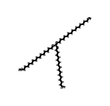 CC(C)CCCCCCCCCCCCCCC[O][Al]([O]CCCCCCCCCCCCCCCC(C)C)[O]CCCCCCCCCCCCCCCC(C)C